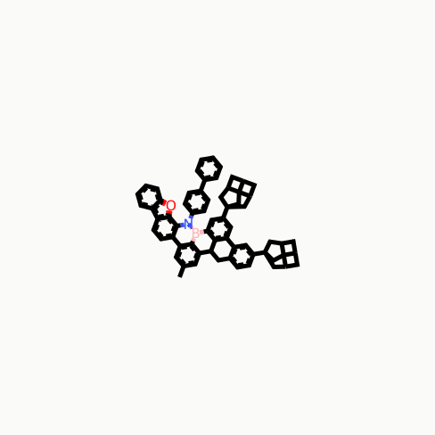 Cc1cc2c3c(c1)C1Cc4ccc(C56CC7CC8CC(C5)C87C6)cc4-c4cc(C56CC7CC8CC(C5)C87C6)cc(c41)B3N(c1ccc(-c3ccccc3)cc1)c1c-2ccc2c1oc1ccccc12